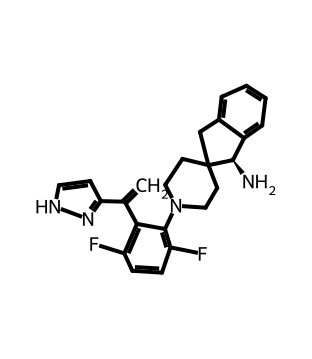 C=C(c1cc[nH]n1)c1c(F)ccc(F)c1N1CCC2(CC1)Cc1ccccc1[C@H]2N